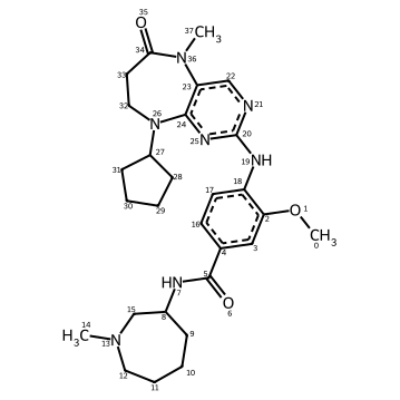 COc1cc(C(=O)NC2CCCCN(C)C2)ccc1Nc1ncc2c(n1)N(C1CCCC1)CCC(=O)N2C